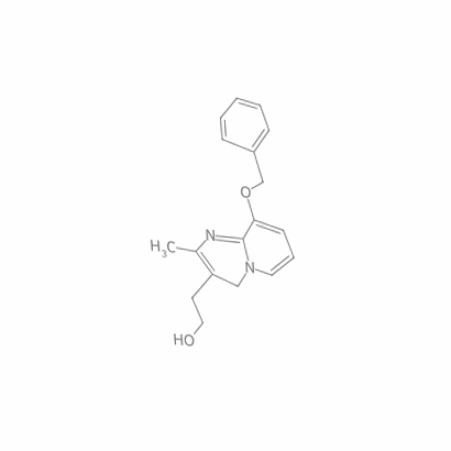 CC1=C(CCO)CN2C=CC=C(OCc3ccccc3)C2=N1